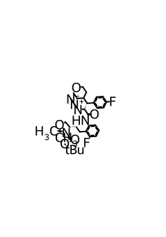 CC(C)(C)OC(=O)N1[C@@H](CCc2c(F)cccc2NC(=O)C(N=[N+]=[N-])[C@@H](c2ccc(F)cc2)C2CCOCC2)COC1(C)C